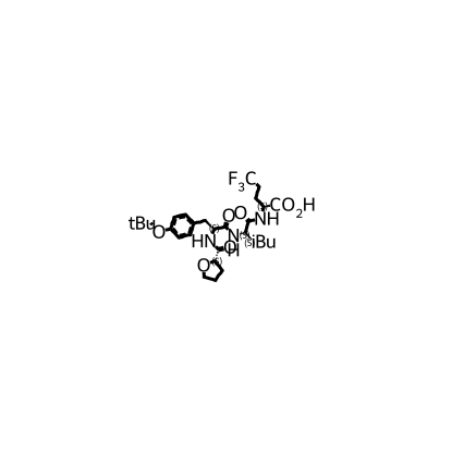 CC[C@H](C)[C@H](NC(=O)[C@H](Cc1ccc(OC(C)(C)C)cc1)NC(=O)[C@@H]1CCCO1)C(=O)N[C@@H](CCC(F)(F)F)C(=O)O